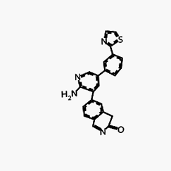 Nc1ncc(-c2cccc(-c3nccs3)c2)cc1-c1ccc2c(c1)CC(=O)N=C2